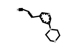 N#C/C=C/c1cncc(N2CCOCC2)c1